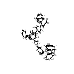 c1ccc(-c2nc(-c3ccc(-c4cncc(-n5c6ccccc6c6ccccc65)c4)cc3)cc(-c3ccc(-c4cccc5c4sc4ccccc45)cc3)n2)cc1